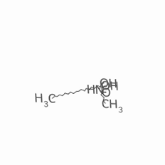 CCCCCCCCCCCCCCCCCCC(CO)(CO)NC(=O)CCCC